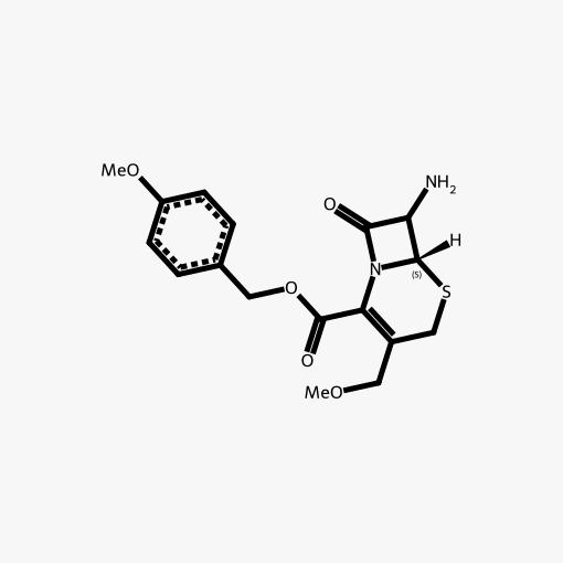 COCC1=C(C(=O)OCc2ccc(OC)cc2)N2C(=O)C(N)[C@@H]2SC1